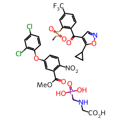 COC(=O)c1cc(Oc2ccc(Cl)cc2Cl)ccc1[N+](=O)[O-].CS(=O)(=O)c1cc(C(F)(F)F)ccc1C(=O)c1cnoc1C1CC1.O=C(O)CNCP(=O)(O)O